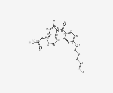 CC=CCCCOc1ccc(C(=O)n2c(C)cc3c(CC(=O)O)cccc32)cc1